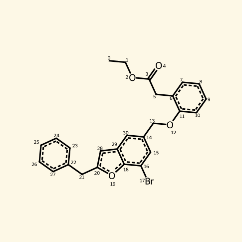 CCOC(=O)Cc1ccccc1OCc1cc(Br)c2oc(Cc3ccccc3)cc2c1